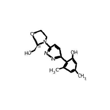 Cc1cc(C)c(-c2ccc(N3CCOC[C@@H]3CO)nn2)c(O)c1